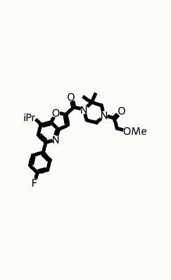 COCC(=O)N1CCN(C(=O)c2cc3nc(-c4ccc(F)cc4)cc(C(C)C)c3o2)C(C)(C)C1